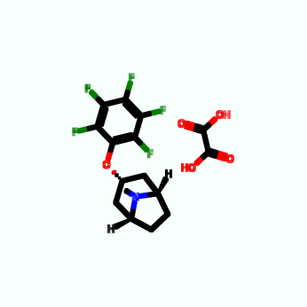 CN1[C@@H]2CC[C@H]1C[C@@H](Oc1c(F)c(F)c(F)c(F)c1F)C2.O=C(O)C(=O)O